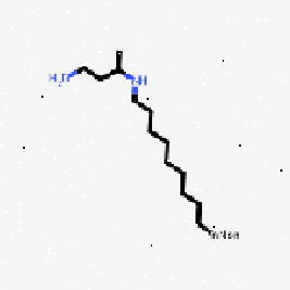 CCCCCCCCCCCCCCCCCCNC(C)CCN